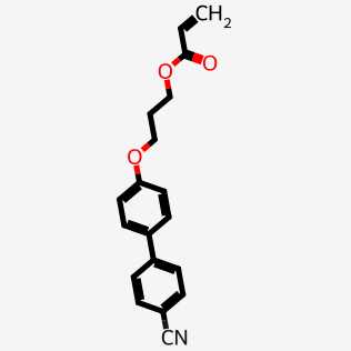 C=CC(=O)OCCCOc1ccc(-c2ccc(C#N)cc2)cc1